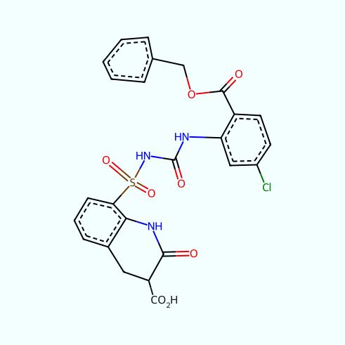 O=C(Nc1cc(Cl)ccc1C(=O)OCc1ccccc1)NS(=O)(=O)c1cccc2c1NC(=O)C(C(=O)O)C2